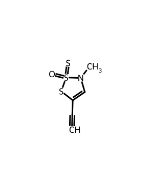 C#CC1=CN(C)S(=O)(=S)S1